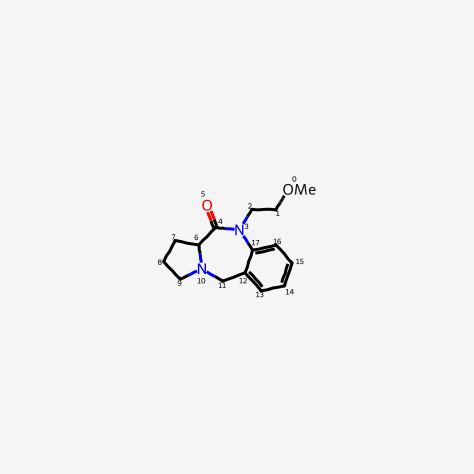 COCCN1C(=O)C2CCCN2Cc2ccccc21